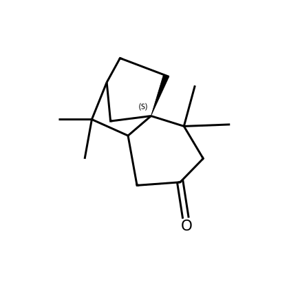 CC1(C)C2CC[C@]3(C2)C1CC(=O)CC3(C)C